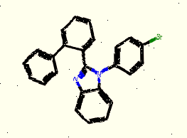 Brc1ccc(-n2c(-c3ccccc3-c3ccccc3)nc3ccccc32)cc1